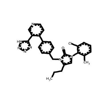 CCCc1cn(-c2c(C)cccc2Cl)c(=O)n1Cc1ccc(-c2ccncc2-c2nnn[nH]2)cc1